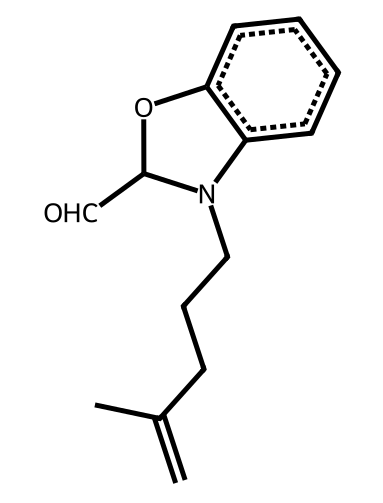 C=C(C)CCCN1c2ccccc2OC1C=O